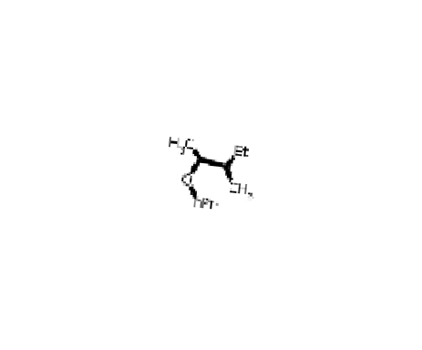 CC[CH]OC(C)C(C)CC